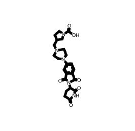 O=C1CCC(N2C(=O)c3ccc(N4CCN(CC5CCN(C(=O)O)C5)CC4)cc3C2=O)C(=O)N1